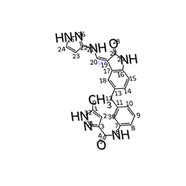 Cc1cc(C(=O)Nc2cccc(Cc3ccc4c(c3)/C(=C/Nc3cc[nH]n3)C(=O)N4)c2)n[nH]1